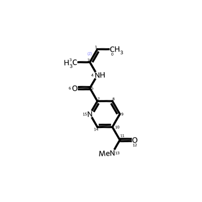 C/C=C(/C)NC(=O)c1ccc(C(=O)NC)cn1